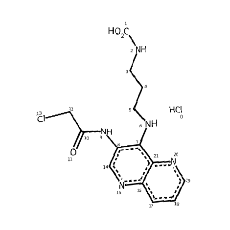 Cl.O=C(O)NCCCNc1c(NC(=O)CCl)cnc2cccnc12